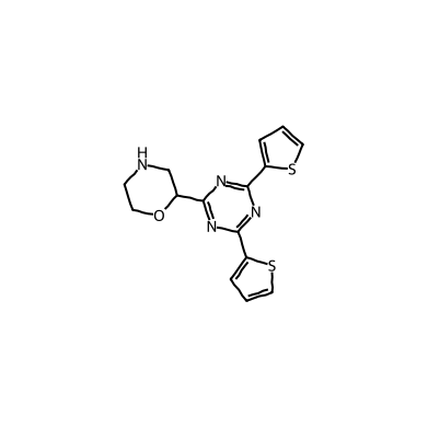 c1csc(-c2nc(-c3cccs3)nc(C3CNCCO3)n2)c1